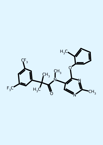 Cc1ncc(N(C)C(=O)C(C)(C)c2cc(C(F)(F)F)cc(C(F)(F)F)c2)c(Oc2ccccc2C)n1